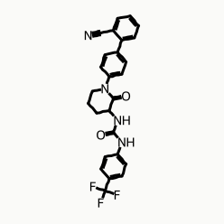 N#Cc1ccccc1-c1ccc(N2CCCC(NC(=O)Nc3ccc(C(F)(F)F)cc3)C2=O)cc1